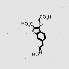 O=C(O)COc1c(C(=O)O)sc2cc(CC=NO)ccc12